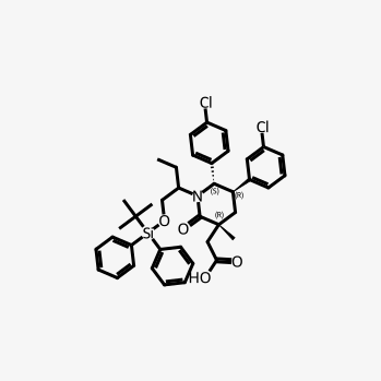 CCC(CO[Si](c1ccccc1)(c1ccccc1)C(C)(C)C)N1C(=O)[C@@](C)(CC(=O)O)C[C@H](c2cccc(Cl)c2)[C@H]1c1ccc(Cl)cc1